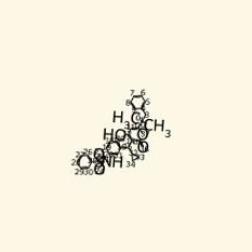 CC(C)(Cc1ccccc1)c1cc(O)c(C(c2cccc(NS(=O)(=O)c3ccccc3)c2)C2CC2)c(=O)o1